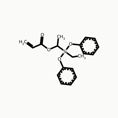 C=CC(=O)OC(C)[Si](CC)(Oc1ccccc1)Oc1ccccc1